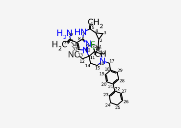 C#CC1CC1C(=C)Nc1nn(C2(CC#N)CCN(Cc3ccc(C4=CCCC=C4)cc3)CC2F)cc1C(=C)N